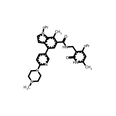 CCCc1cc(C)[nH]c(=O)c1CNC(=O)c1cc(-c2ccc(N3CCN(C)CC3)nc2)c2ccn(CCC)c2c1C